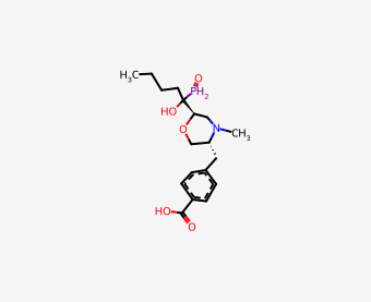 CCCCC(O)([PH2]=O)[C@H]1CN(C)[C@H](Cc2ccc(C(=O)O)cc2)CO1